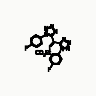 CCOC(=O)C=C(c1nnnn1-c1ccc(F)cc1)c1nnnn1-c1ccc(F)cc1